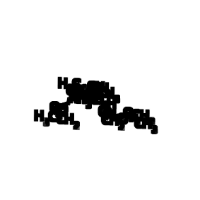 C=C(C)CC(=O)OCCNC(=C)OCCCC(C)(C)C(C)C1(C)CC1(C)CC(C)OC(=O)NCCCOC(=O)C(=C)C